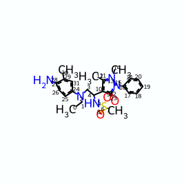 CCN(CC(NS(C)(=O)=O)c1c(C)n(C)n(-c2ccccc2)c1=O)c1ccc(N)c(C)c1